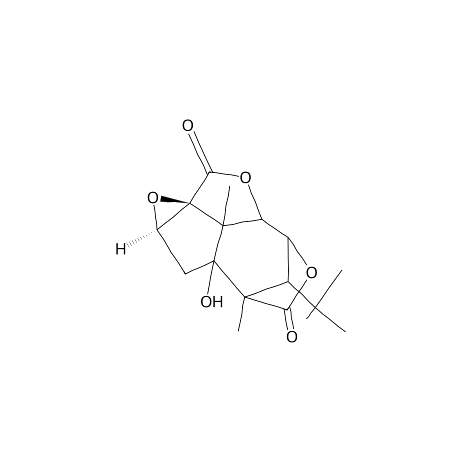 CC(C)(C)C1C2OC(=O)C1(C)C1(O)C[C@H]3O[C@]34C(=O)OC2C14C